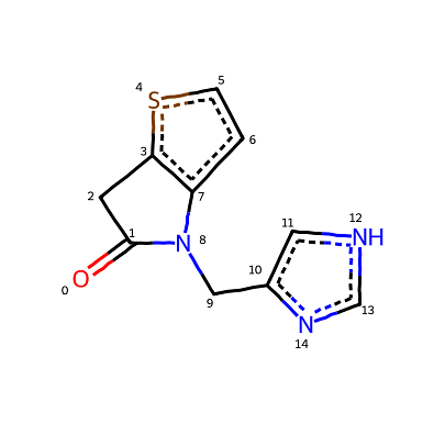 O=C1Cc2sccc2N1Cc1c[nH]cn1